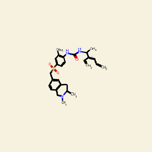 C=C/C=C(\C=C)C(C)NC(=O)Nc1ccc(S(=O)(=O)Cc2ccc3c(c2)CC(C)N(C)C3)cc1OC